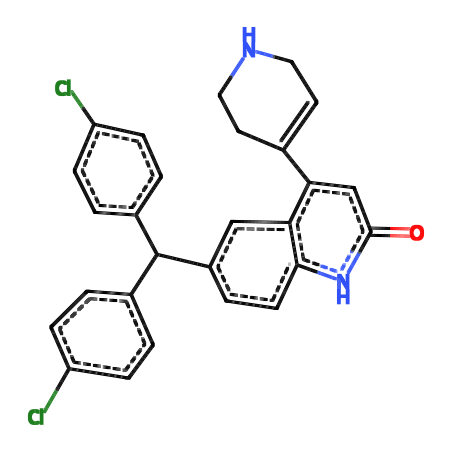 O=c1cc(C2=CCNCC2)c2cc(C(c3ccc(Cl)cc3)c3ccc(Cl)cc3)ccc2[nH]1